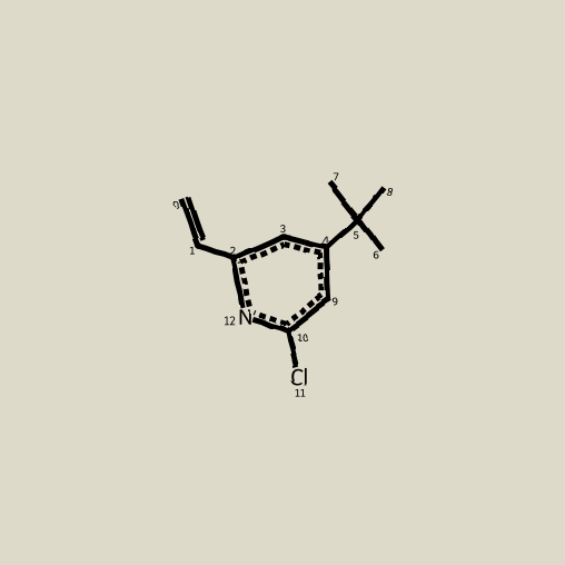 C=Cc1cc(C(C)(C)C)cc(Cl)n1